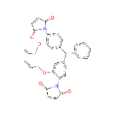 C=CCOc1cc(C(c2ccccc2)c2ccc(N3C(=O)C=CC3=O)c(OCC=C)c2)ccc1N1C(=O)C=CC1=O